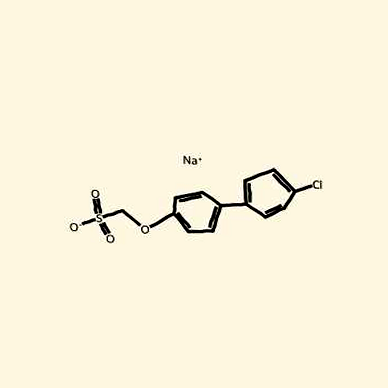 O=S(=O)([O-])COc1ccc(-c2ccc(Cl)cc2)cc1.[Na+]